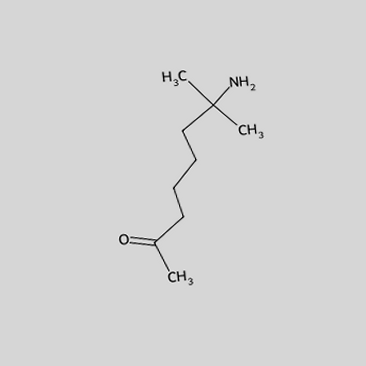 CC(=O)CCCCC(C)(C)N